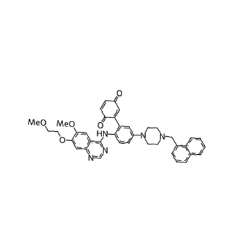 COCCOc1cc2ncnc(Nc3ccc(N4CCN(Cc5cccc6ccccc56)CC4)cc3C3=CC(=O)C=CC3=O)c2cc1OC